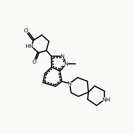 Cn1nc(C2CCC(=O)NC2=O)c2cccc(N3CCC4(CCNCC4)CC3)c21